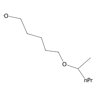 CCCC(C)OCCCCC[O]